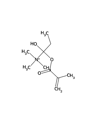 C=C(C)C(=O)OC(O)(CC)[N+](C)(C)C